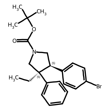 CC[C@]1(c2ccccc2)CN(C(=O)OC(C)(C)C)C[C@H]1c1ccc(Br)cc1